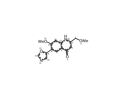 COCc1cc(=O)c2cc(-c3cnco3)c(OC)cc2[nH]1